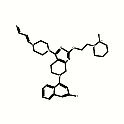 C[C@H]1CCCCN1CCOc1nc2c(c(N3CCN(C=CC=O)CC3)n1)CCN(c1cc(O)cc3ccccc13)C2